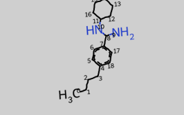 CCCCc1ccc(C(N)NC2CCCCC2)cc1